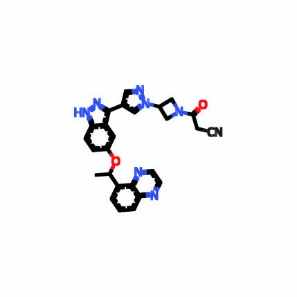 CC(Oc1ccc2[nH]nc(-c3cnn(C4CN(C(=O)CC#N)C4)c3)c2c1)c1cccc2nccnc12